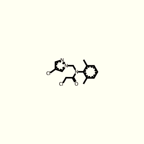 Cc1cccc(C)c1N(Cn1cc(Cl)cn1)C(=O)CCl